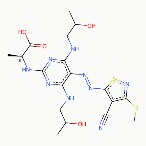 CSc1nsc(N=Nc2c(NCC(C)O)nc(N[C@@H](C)C(=O)O)nc2NCC(C)O)c1C#N